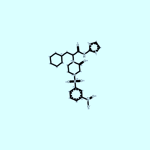 O=C(Nc1nccs1)C(CC1CCCCC1)N1CCN(S(=O)(=O)c2cccc([N+](=O)[O-])c2)CC1=O